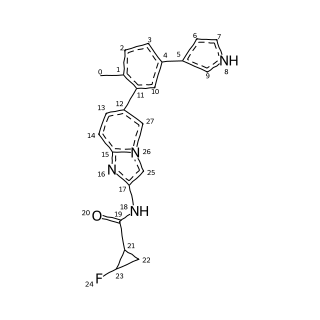 Cc1ccc(-c2cc[nH]c2)cc1-c1ccc2nc(NC(=O)C3CC3F)cn2c1